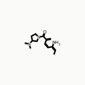 C=C(/C=C\C(N)=C/C)C(=O)N1CCC(N(C)C)C1